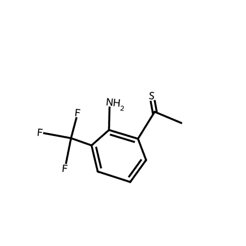 CC(=S)c1cccc(C(F)(F)F)c1N